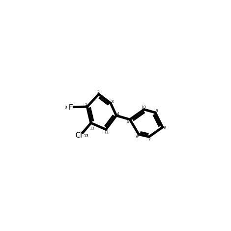 Fc1ccc(-c2[c]cccc2)cc1Cl